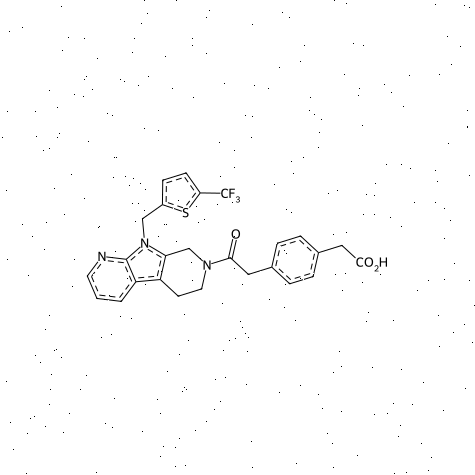 O=C(O)Cc1ccc(CC(=O)N2CCc3c(n(Cc4ccc(C(F)(F)F)s4)c4ncccc34)C2)cc1